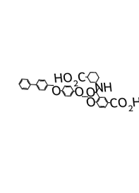 O=C(O)c1ccc(OCCOc2ccc(OCc3ccc(-c4ccccc4)cc3)cc2)c(C(=O)NC2CCCC(C(=O)O)C2)c1